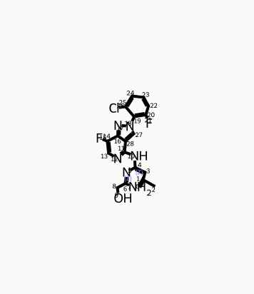 C=C(C)/C=C(\N=C(/N)CO)Nc1ncc(F)c2nn(-c3c(F)cccc3Cl)cc12